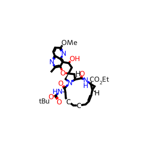 CCOC(=O)[C@@]12C[C@H]1/C=C\CCCCC[C@H](NC(=O)OC(C)(C)C)C(=O)N1C[C@@]3(CC(O)c4c(c(C)nc5ccc(OC)nc45)O3)C[C@H]1C(=O)N2